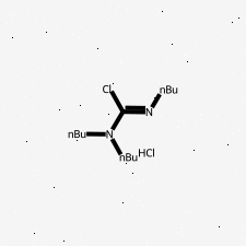 CCCC/N=C(\Cl)N(CCCC)CCCC.Cl